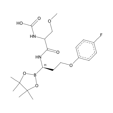 COCC(NC(=O)O)C(=O)N[C@@H](CCOc1ccc(F)cc1)B1OC(C)(C)C(C)(C)O1